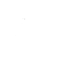 CCCCc1sc(C(N)=O)c(S(N)(=O)=O)c1-c1ccccc1